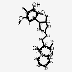 COc1cc2c(c(O)c1C)OCC1CN(CCc3c(C)nc4ccccn4c3=O)CC21